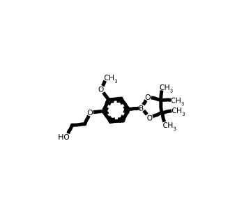 COc1cc(B2OC(C)(C)C(C)(C)O2)ccc1OCCO